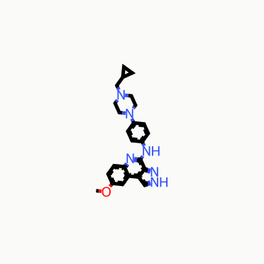 COc1ccc2nc(Nc3ccc(N4CCN(CC5CC5)CC4)cc3)c3n[nH]cc3c2c1